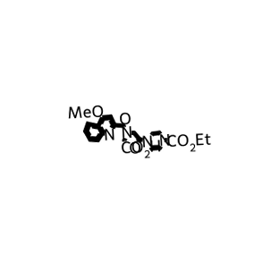 CCOC(=O)N1CCN(C(=O)CN(CC(=O)O)C(=O)c2cc(OC)c3ccccc3n2)CC1